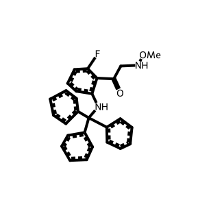 CONCC(=O)c1c(F)cccc1NC(c1ccccc1)(c1ccccc1)c1ccccc1